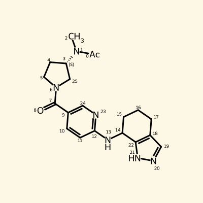 CC(=O)N(C)[C@H]1CCN(C(=O)c2ccc(NC3CCCc4cn[nH]c43)nc2)C1